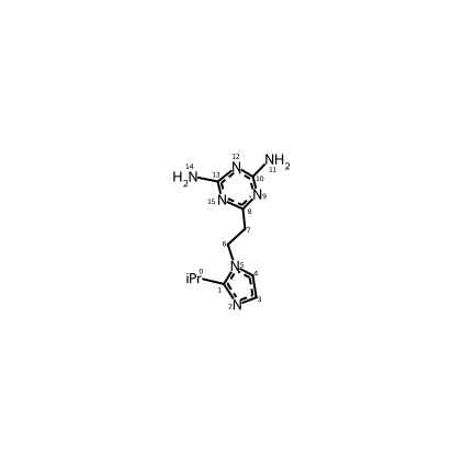 CC(C)c1nccn1CCc1nc(N)nc(N)n1